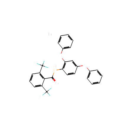 O=C(Pc1ccc(Oc2ccccc2)cc1Oc1ccccc1)c1c(C(F)(F)F)cccc1C(F)(F)F.[Li]